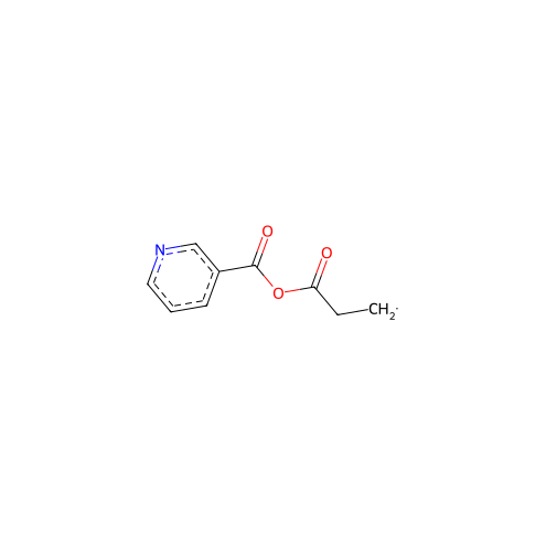 [CH2]CC(=O)OC(=O)c1cccnc1